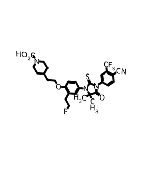 CC1(C)C(=O)N(c2ccc(C#N)c(C(F)(F)F)c2)C(=S)N1c1ccc(OCCC2CCN(C(=O)O)CC2)c(CCF)c1